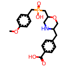 COc1ccc(CP(=O)(O)CC2CNC(Cc3ccc(C(=O)O)cc3)CO2)cc1